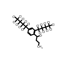 CCCC([O])c1ccc(C(Cl)(Cl)C(Cl)(Cl)C(Cl)(Cl)C(Cl)(Cl)Cl)cc1C(Cl)(Cl)C(Cl)(Cl)C(Cl)(Cl)C(Cl)(Cl)Cl